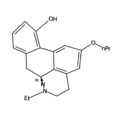 CCCOc1cc2c3c(c1)-c1c(O)cccc1C[C@H]3N(CC)CC2